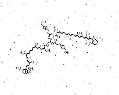 CC(C=CC=C(C)C=CC1=C(C)CCCC1(C)C)=CC=CC=C(C)C=CC=C(C)C(=O)OC[C@H](OC(=O)CCN1CC(CO)C1)[C@@H](COC(=O)\C(C)=C/C=C/C(C)=C/C=C/C=C(C)/C=C/C=C(C)/C=C/C1=C(C)CCCC1(C)C)OC(=O)CCN1CC(CO)C1